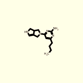 CCCCc1cc(N2CC3=CNCC3C2)nc(N)n1